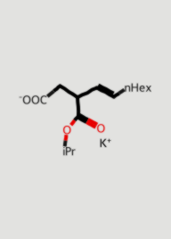 CCCCCC/C=C/C(CC(=O)[O-])C(=O)OC(C)C.[K+]